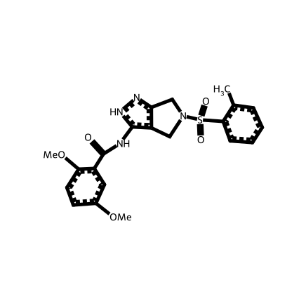 COc1ccc(OC)c(C(=O)Nc2[nH]nc3c2CN(S(=O)(=O)c2ccccc2C)C3)c1